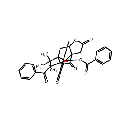 CC(C)(C)C12CC3OC(=O)CC3(C(=O)O1)C21C(OC(=O)c2ccccc2)OC(=O)C1OC(=O)c1ccccc1